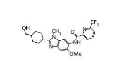 COc1cc2nc([C@H]3CC[C@H](CO)CC3)n(C)c2cc1NC(=O)c1cccc(C(F)(F)F)n1